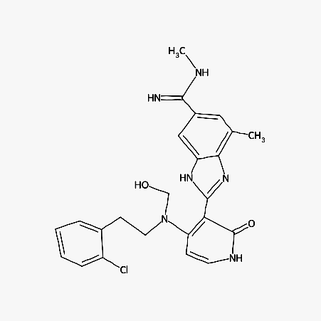 CNC(=N)c1cc(C)c2nc(-c3c(N(CO)CCc4ccccc4Cl)cc[nH]c3=O)[nH]c2c1